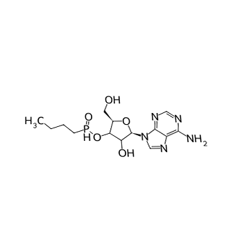 CCCC[PH](=O)OC1C(O)[C@H](n2cnc3c(N)ncnc32)O[C@@H]1CO